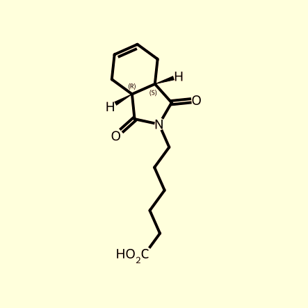 O=C(O)CCCCCN1C(=O)[C@H]2CC=CC[C@H]2C1=O